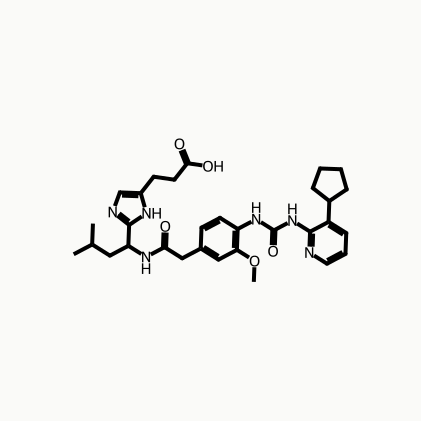 COc1cc(CC(=O)NC(CC(C)C)c2ncc(CCC(=O)O)[nH]2)ccc1NC(=O)Nc1ncccc1C1CCCC1